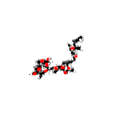 NC(=O)C[C@H](NC(=O)[C@H](CO)NC(=O)[C@H](CC(=O)O)NC(=O)[C@H](CO)NC(=O)CNC(=O)[C@H](CO)NC(=O)CNC(=O)[C@H](CC(=O)O)NC(=O)[C@H](CC(N)=O)NC(=O)[C@H](CO)NC(=O)[C@@H](N)CC(=O)O)C(=O)N[C@@H](CC(=O)O)C(=O)NCC(=O)N[C@@H](CO)C(=O)NCC(=O)N[C@@H](CO)C(=O)N[C@@H](CC(=O)O)C(=O)N[C@@H](CO)C(=O)N[C@@H](CC(N)=O)C(=O)N[C@@H](CC(=O)O)C(=O)N[C@@H](CO)C(=O)O